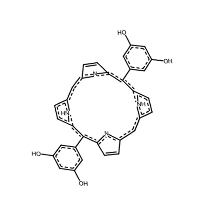 Oc1cc(O)cc(-c2c3nc(cc4ccc([nH]4)c(-c4cc(O)cc(O)c4)c4nc(cc5ccc2[nH]5)C=C4)C=C3)c1